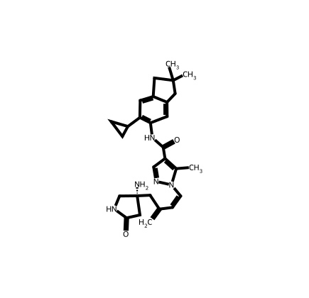 C=C(/C=C\n1ncc(C(=O)Nc2cc3c(cc2C2CC2)CC(C)(C)C3)c1C)C[C@]1(N)CNC(=O)C1